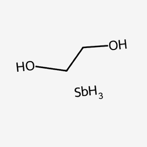 OCCO.[SbH3]